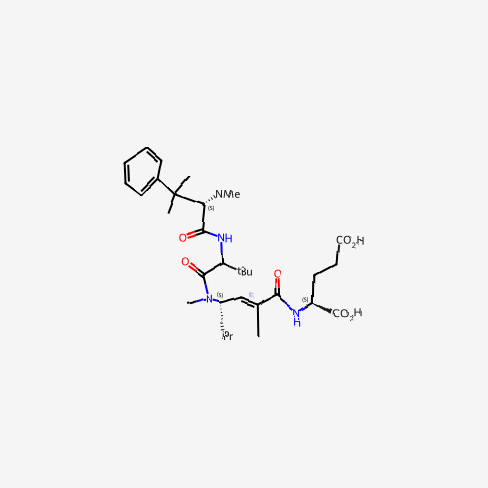 CN[C@H](C(=O)NC(C(=O)N(C)[C@H](/C=C(\C)C(=O)N[C@@H](CCC(=O)O)C(=O)O)C(C)C)C(C)(C)C)C(C)(C)c1ccccc1